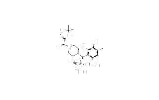 Cc1cc(O)c(C(N[S@@+]([O-])C(C)(C)C)C2CCN(C(=O)[C@H]3COC(C)(C)O3)CC2)c(F)c1Cl